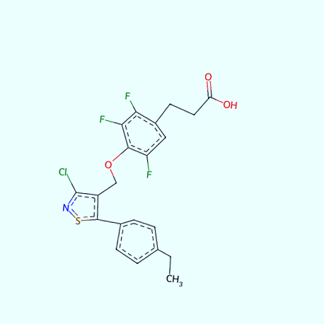 CCc1ccc(-c2snc(Cl)c2COc2c(F)cc(CCC(=O)O)c(F)c2F)cc1